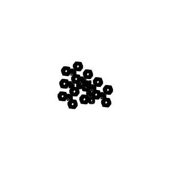 c1ccc(N(c2ccccc2)c2ccc3c(c2)N(c2ccccc2)c2cc(N(c4ccccc4)c4ccccc4)cc4c2B3c2cc3c(nc2N4c2ccccc2)N(c2ccccc2)c2cc(N(c4ccccc4)c4ccccc4)cc4c2B3c2ccccc2O4)cc1